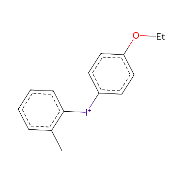 CCOc1ccc([I+]c2ccccc2C)cc1